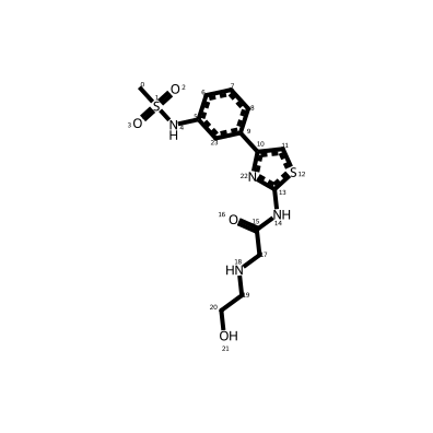 CS(=O)(=O)Nc1cccc(-c2csc(NC(=O)CNCCO)n2)c1